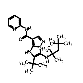 CC(C)(C)CC(C)(C)Nc1c(C(C)(C)C)[nH]c2c(C(=O)Nc3ccccn3)cnn12